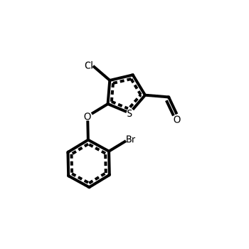 O=Cc1cc(Cl)c(Oc2ccccc2Br)s1